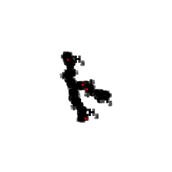 CCC1(OC(=O)COc2cc(I)c(Oc3ccc([S+](c4ccc(Oc5cc(I)c(OCC(=O)OC6(CC)CCCCC6)cc5I)cc4)c4ccc(Oc5cc(I)c(OCC(=O)OC6(CC)CCCCC6)cc5I)cc4)cc3)cc2I)CCCCC1